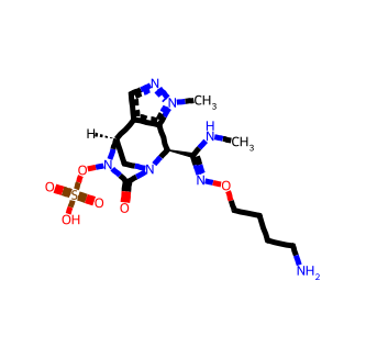 CN/C(=N\OCCCCN)[C@@H]1c2c(cnn2C)[C@H]2CN1C(=O)N2OS(=O)(=O)O